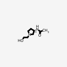 CC(=O)N[C@H]1CCN(CCO)C1